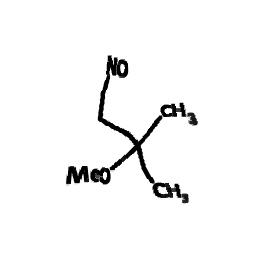 COC(C)(C)CN=O